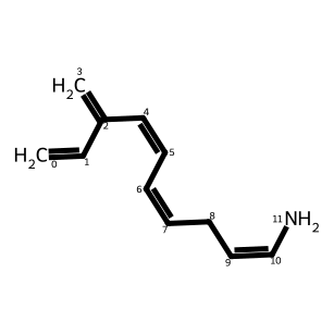 C=CC(=C)/C=C\C=C/C/C=C\N